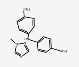 CCCCCCCCc1ccc(Nc2ccc(CCCCCCCC)cc2)cc1.Cn1cncn1